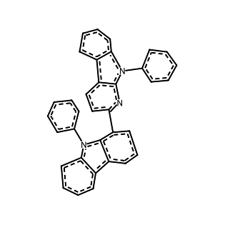 c1ccc(-n2c3ccccc3c3ccc(-c4cccc5c6ccccc6n(-c6ccccc6)c45)nc32)cc1